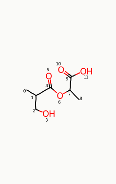 CC(CO)C(=O)OC(C)C(=O)O